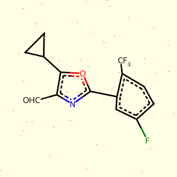 O=Cc1nc(-c2cc(F)ccc2C(F)(F)F)oc1C1CC1